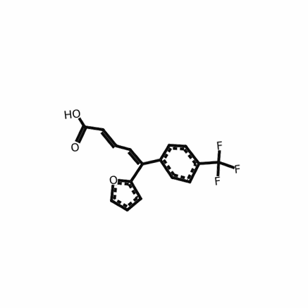 O=C(O)C=CC=C(c1ccc(C(F)(F)F)cc1)c1ccco1